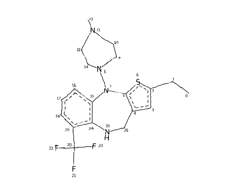 CCc1cc2c(s1)N(N1CCN(C)CC1)c1cccc(C(F)(F)F)c1NC2